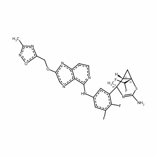 Cc1noc(COc2cnc3c(Nc4cc(F)c(F)c([C@]5(C)N=C(N)S[C@@]6(C(F)F)C[C@@H]56)c4)nccc3n2)n1